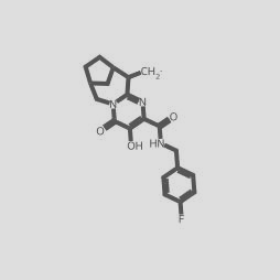 [CH2]C1c2nc(C(=O)NCc3ccc(F)cc3)c(O)c(=O)n2CC2CCC1C2